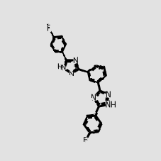 Fc1ccc(-c2nc(-c3cccc(-c4n[nH]c(-c5ccc(F)cc5)n4)c3)n[nH]2)cc1